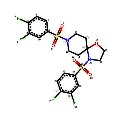 O=S(=O)(c1ccc(F)c(F)c1)N1CCC2(CC1)OCCN2S(=O)(=O)c1ccc(F)c(F)c1